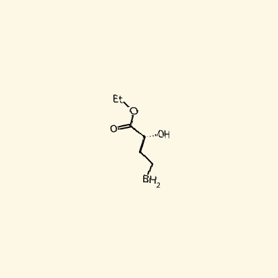 BCC[C@@H](O)C(=O)OCC